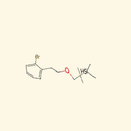 C[SiH](C)C(C)(C)COCCc1ccccc1Br